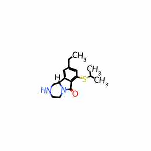 CCc1cc(SC(C)C)c2c(c1)[C@H]1CNCCN1C2=O